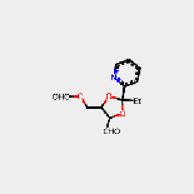 CCC1(c2ccccn2)OC(C=O)C(COC=O)O1